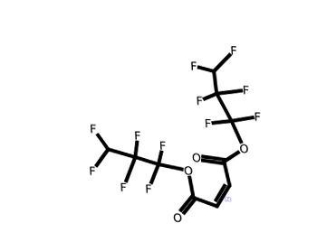 O=C(/C=C\C(=O)OC(F)(F)C(F)(F)C(F)F)OC(F)(F)C(F)(F)C(F)F